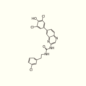 O=C(NCCc1cccc(Cl)c1)Nc1cnc2ccc(-c3cc(Cl)c(O)c(Cl)c3)cc2n1